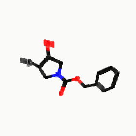 O=C(O)C1CN(C(=O)OCc2ccccc2)CC1O